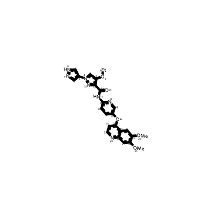 CCOc1cn(-c2cn[nH]c2)nc1C(=O)Nc1ccc(Oc2ccnc3cc(OC)c(OC)cc23)cn1